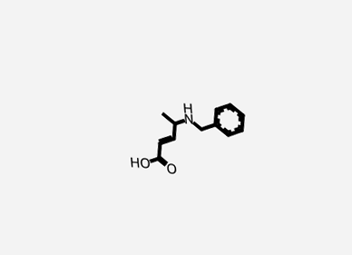 CC(/C=C/C(=O)O)NCc1ccccc1